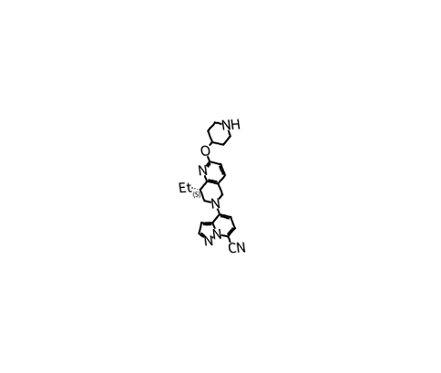 CC[C@H]1CN(c2ccc(C#N)n3nccc23)Cc2ccc(OC3CCNCC3)nc21